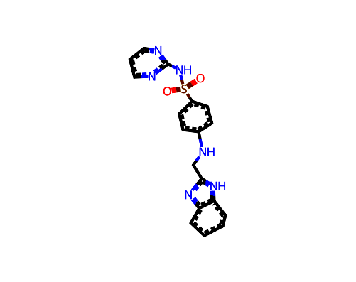 O=S(=O)(Nc1ncccn1)c1ccc(NCc2nc3ccccc3[nH]2)cc1